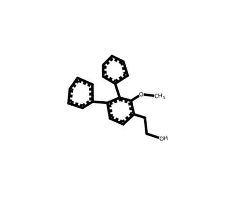 COc1c(CCO)[c]cc(-c2ccccc2)c1-c1ccccc1